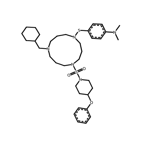 CN(C)c1ccc(SN2CCCN(CC3CCCCC3)CCCN(S(=O)(=O)N3CCC(Oc4ccccc4)CC3)CCC2)cc1